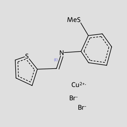 CSc1ccccc1/N=C/c1cccs1.[Br-].[Br-].[Cu+2]